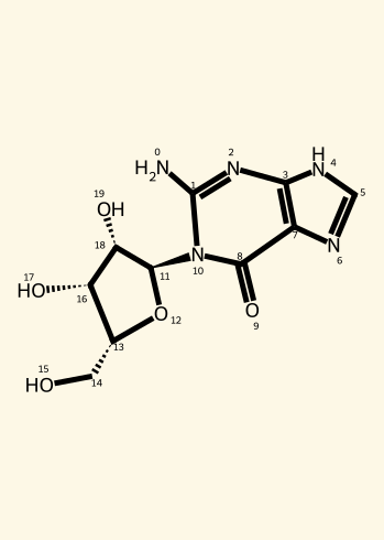 Nc1nc2[nH]cnc2c(=O)n1[C@H]1O[C@H](CO)[C@H](O)[C@@H]1O